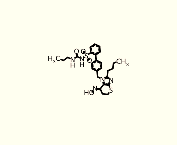 CCCCc1nc2c(n1Cc1ccc(-c3ccccc3S(=O)(=O)NC(=O)NCCC)cc1)C(=NO)CCS2